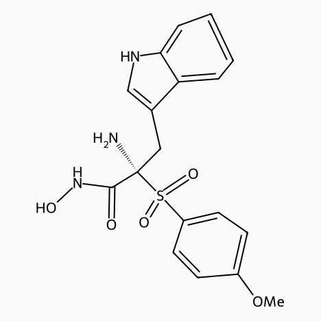 COc1ccc(S(=O)(=O)[C@](N)(Cc2c[nH]c3ccccc23)C(=O)NO)cc1